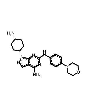 Nc1nc(Nc2ccc(N3CCOCC3)cc2)nc2c1cnn2[C@H]1CC[C@@H](N)CC1